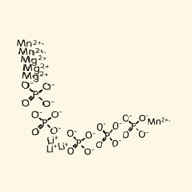 O=P([O-])([O-])[O-].O=P([O-])([O-])[O-].O=P([O-])([O-])[O-].O=P([O-])([O-])[O-].O=P([O-])([O-])[O-].[Li+].[Li+].[Li+].[Mg+2].[Mg+2].[Mg+2].[Mn+2].[Mn+2].[Mn+2]